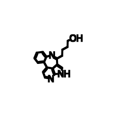 OCCCCC1=Nc2ccccc2-c2ccnc3[nH]cc1c23